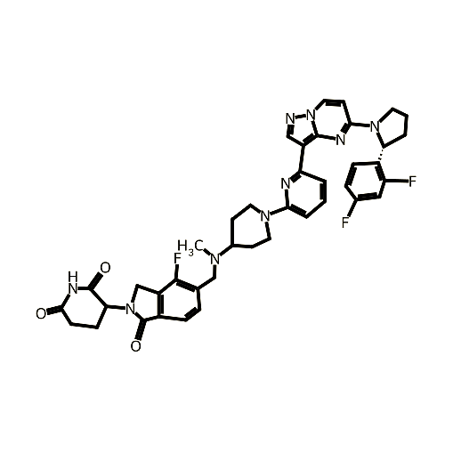 CN(Cc1ccc2c(c1F)CN(C1CCC(=O)NC1=O)C2=O)C1CCN(c2cccc(-c3cnn4ccc(N5CCC[C@@H]5c5ccc(F)cc5F)nc34)n2)CC1